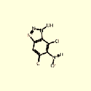 O=[N+]([O-])c1c(Cl)cc2nnn(O)c2c1Cl